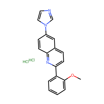 COc1ccccc1-c1ccc2cc(-n3ccnc3)ccc2n1.Cl.Cl